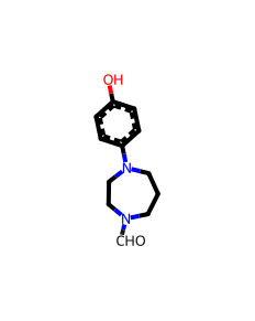 O=CN1CCCN(c2ccc(O)cc2)CC1